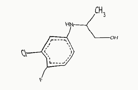 CC(CO)Nc1ccc(F)c(Cl)c1